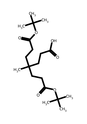 CC(CCC(=O)O)(CCC(=O)OC(C)(C)C)CCC(=O)OC(C)(C)C